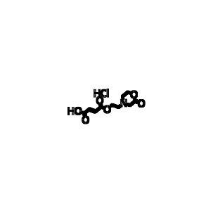 Cl.O=C(O)C=CC(=O)OCCN1CCOC(=O)C1